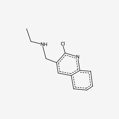 CCNCc1cc2ccccc2nc1Cl